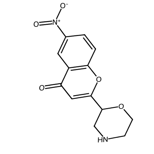 O=c1cc(C2CNCCO2)oc2ccc([N+](=O)[O-])cc12